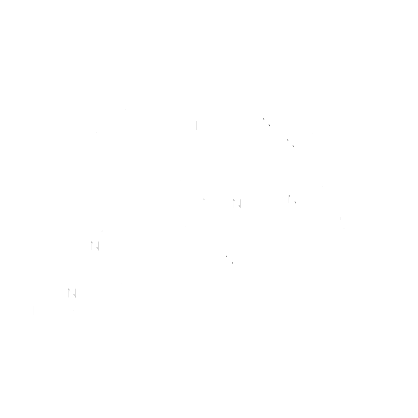 Cc1cc2n(Cc3nc(OCC4CCOC4)c4cc(-c5cn(C)cn5)ccc4n3)c(=O)c3ccccc3n2n1